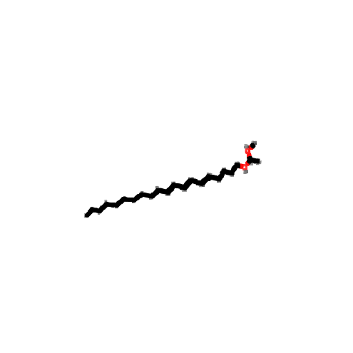 CCCCCCCCCCCCCCCCCCCCOC(C)OC